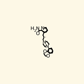 NC(=O)c1ncccc1C[CH]CN1CCN(c2cccc3c2OCCO3)CC1